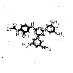 CCC(=O)Nc1ccc(Nc2nc(N3C[C@H](N)C[C@H](N)C3)nc(N3C[C@H](N)C[C@H](N)C3)n2)cc1O